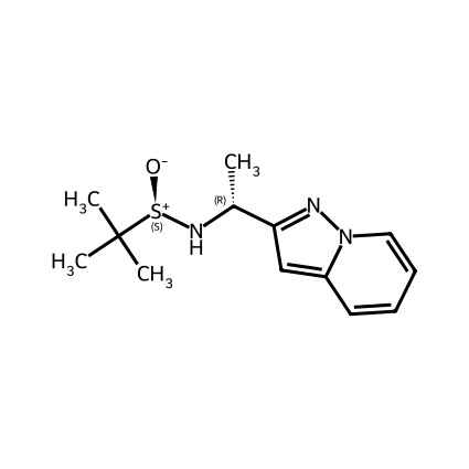 C[C@@H](N[S@+]([O-])C(C)(C)C)c1cc2ccccn2n1